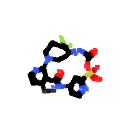 COc1ccnc(N2CCC(F)(F)CC2)c1C(=O)Nc1ccnc(S(=O)(=O)OC(N)=O)c1